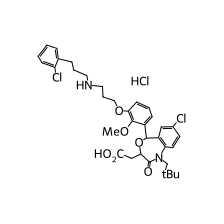 COc1c(OCCCNCCCc2ccccc2Cl)cccc1C1OC(CC(=O)O)C(=O)N(CC(C)(C)C)c2ccc(Cl)cc21.Cl